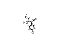 COCC(O)C(C#N)c1ccc(Cl)cc1